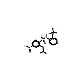 CC(C)Cc1cc([N+](=O)[O-])ccc1S(=O)(=O)Nc1ccccc1C(F)(F)F